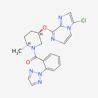 C[C@@H]1CC[C@@H](Oc2nccn3c(Cl)cnc23)CN1C(=O)c1ccccc1-n1nccn1